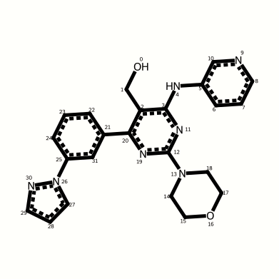 OCc1c(Nc2cccnc2)nc(N2CCOCC2)nc1-c1cccc(-n2cccn2)c1